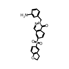 Nc1cccc(Cn2ncc3cc(S(=O)(=O)c4ccc5c(c4)CCO5)ccc3c2=O)c1